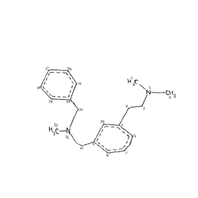 CN(C)CCc1cccc(CN(C)Cc2ccccc2)c1